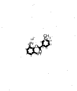 CC(C)c1cccc(C(C)C)c1OC(=O)c1ccc[n+](C)c1.[I-]